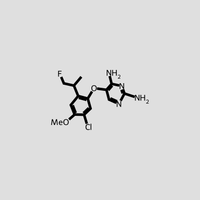 COc1cc(C(C)CF)c(Oc2cnc(N)nc2N)cc1Cl